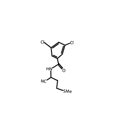 CSCCC(C#N)NC(=O)c1cc(Cl)cc(Cl)c1